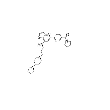 O=C(c1ccc(-c2cc(NCCCN3CCC(N4CCCC4)CC3)c3sccc3n2)cc1)N1CCCC1